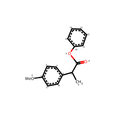 COc1ccc(C(C)C(=O)Oc2ccccc2)cc1